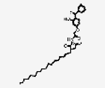 CCCCCCCCCCCCCCCC=CCC1CC(=O)N(NC(=O)COc2ccc(C(=O)c3ccccc3)c(O)c2)C1=O